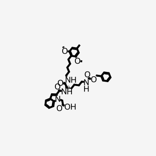 COc1cc(C)cc(OC)c1CCCCCNC(=O)[C@@H](CCCCNC(=O)OCc1ccccc1)NC(=O)c1cc2ccccc2n1CC(=O)O